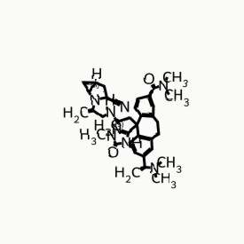 C=C(c1ccc2c(c1)CCc1cc(C(=O)N(C)C)ccc1C2(C[C@H](C)NCC(=C)N1C(C#N)C[C@@H]2CC21)c1nn(C)c(=O)[nH]1)N(C)C